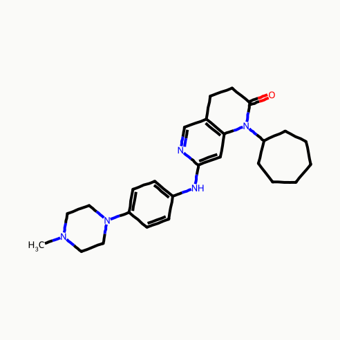 CN1CCN(c2ccc(Nc3cc4c(cn3)CCC(=O)N4C3CCCCCC3)cc2)CC1